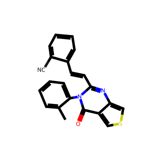 Cc1ccccc1-n1c(/C=C/c2ccccc2C#N)nc2cscc2c1=O